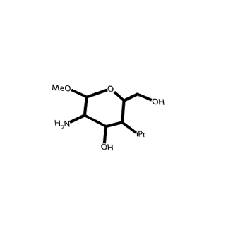 COC1OC(CO)C(C(C)C)C(O)C1N